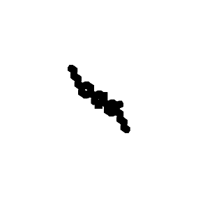 CCCCCc1ccc(-c2ncc(C3CCC(CCCCC)CC3)cn2)cc1C